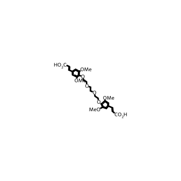 COc1cc(/C=C/C(=O)O)cc(OC)c1OCCOCCOCCOc1c(OC)cc(/C=C/C(=O)O)cc1OC